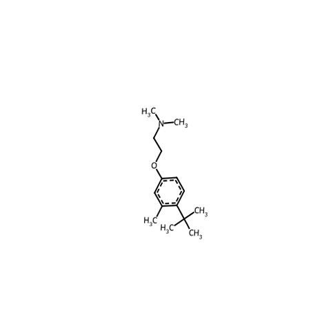 Cc1cc(OCCN(C)C)ccc1C(C)(C)C